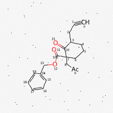 C#CCC1CCCC(CC(C)=O)(C(=O)OCc2ccccc2)C1=O